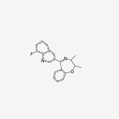 CC1N=C(c2cnc3c(F)cccc3c2)c2ccccc2OC1C